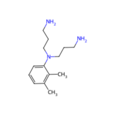 Cc1cccc(N(CCCN)CCCN)c1C